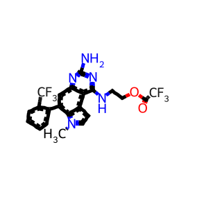 Cn1ccc2c3c(NCCOC(=O)C(F)(F)F)nc(N)nc3cc(-c3ccccc3C(F)(F)F)c21